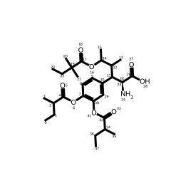 CCC(C)C(=O)Oc1ccc(C(C(C)C(C)OC(=O)C(C)(C)CC)[C@H](N)C(=O)O)cc1OC(=O)C(C)CC